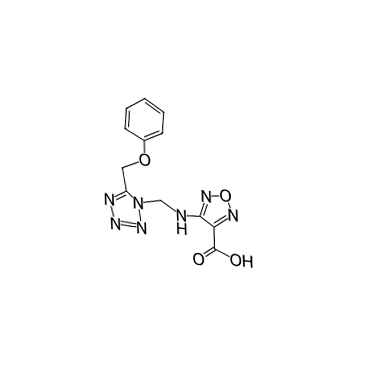 O=C(O)c1nonc1NCn1nnnc1COc1ccccc1